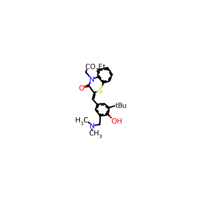 CCOC(=O)CN1C(=O)C(=Cc2cc(CN(C)C)c(O)c(C(C)(C)C)c2)Sc2ccccc21